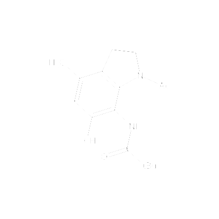 CC(=O)N1CCc2c(C)cc(C)c(NC(=O)C(C)(C)C)c21